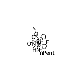 C=CCOC(=O)C(c1ccccc1)[S+]([O-])C1CC(=O)N1C(C)C(=O)NC(CCCCC)c1ccc(F)cc1